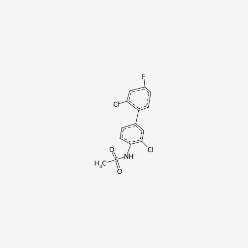 CS(=O)(=O)Nc1ccc(-c2ccc(F)cc2Cl)cc1Cl